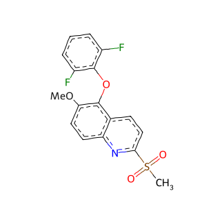 COc1ccc2nc(S(C)(=O)=O)ccc2c1Oc1c(F)cccc1F